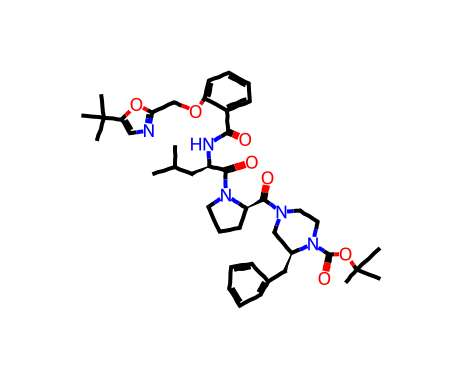 CC(C)C[C@@H](NC(=O)c1ccccc1OCc1ncc(C(C)(C)C)o1)C(=O)N1CCC[C@@H]1C(=O)N1CCN(C(=O)OC(C)(C)C)[C@@H](Cc2ccccc2)C1